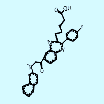 C[C@H](CC(=O)c1ccc2nc(-c3ccc(F)cc3)c(CCCCC(=O)O)nc2c1)c1ccc2ccccc2c1